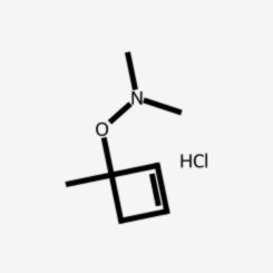 CN(C)OC1(C)C=CC1.Cl